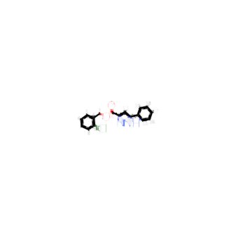 O=C(OCc1ccccc1Cl)c1cc(-c2ccccc2)[nH]n1